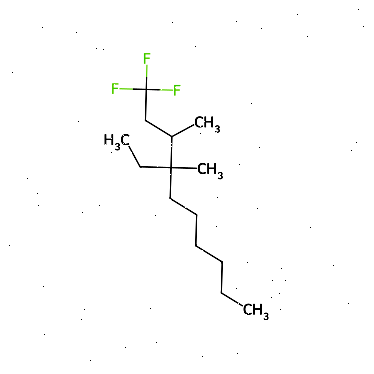 CCCCCCC(C)(CC)C(C)CC(F)(F)F